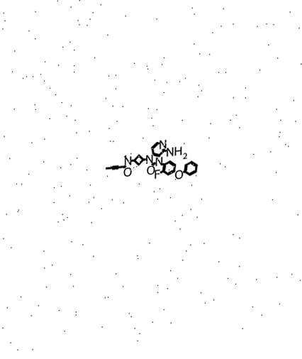 CC#CC(=O)N(C)C1CC(n2c(=O)n(-c3ccc(Oc4ccccc4)cc3F)c3c(N)nccc32)C1